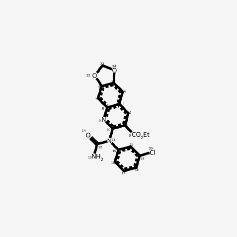 CCOC(=O)c1cc2cc3c(cc2nc1N(C(N)=O)c1cccc(Cl)c1)OCO3